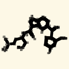 CNc1cc(F)ccc1C(=N)c1cnc2[nH]cc(C(=O)NC(CC[S+](C)[O-])COC)c2n1